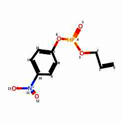 C=CCO[PH](=O)Oc1ccc([N+](=O)[O-])cc1